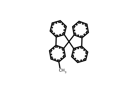 Cc1ccc2c(c1)C1(c3ccccc3-c3ccccc31)c1ccccc1-2